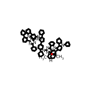 C[C@@H]1C[C@@H]2C[C@H](C)CC(c3nc(-c4ccccc4-n4c5ccccc5c5ccc6c(c7ccccc7n6-c6ccccc6)c54)nc(-n4c5c(c6ccc(C7C=Cc8c(n(-c9ccc%10c(c9)c9ccccc9n%10-c9c(-c%10ccccc%10)cccc9-c9nc(-c%10ccccc%10)nc(C(C)(C)C)n9)c9ccccc89)C7)cc64)C=CCC5)n3)(C1)C2